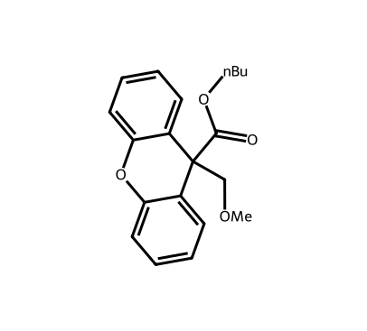 CCCCOC(=O)C1(COC)c2ccccc2Oc2ccccc21